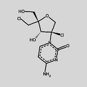 Nc1ccn([C@@]2(Cl)CO[C@@](CO)(CCl)[C@H]2O)c(=O)n1